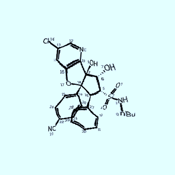 CCCCNS(=O)(=O)[C@H]1[C@@H](O)[C@@]2(O)c3ncc(Cl)cc3O[C@@]2(c2ccc(C#N)cc2)[C@@H]1c1ccccc1